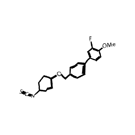 COc1ccc(-c2ccc(COC3CCC(N=C=S)CC3)cc2)cc1F